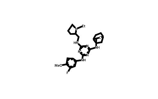 CCN1CCCC1CNc1nc(Nc2ccc(OC)c(F)c2)nc(NC2CC3CCC2CC3)n1